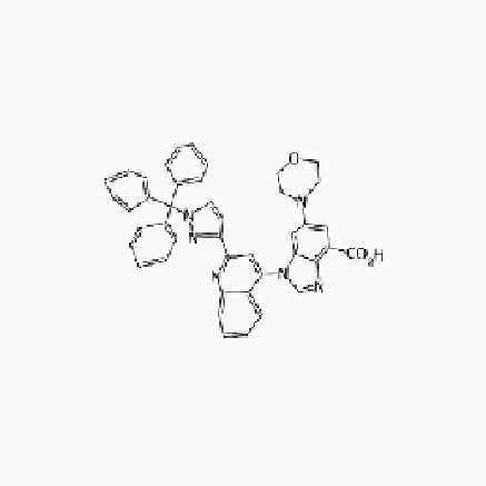 O=C(O)c1cc(N2CCOCC2)cc2c1ncn2-c1cc(-c2ccn(C(c3ccccc3)(c3ccccc3)c3ccccc3)n2)nc2ccccc12